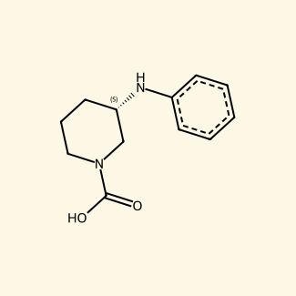 O=C(O)N1CCC[C@H](Nc2ccccc2)C1